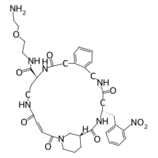 NCCOCCNC(=O)[C@@H]1CCNC(=O)/C=C/C(=O)N2CCC[C@H](C2)C(=O)N[C@@H](Cc2ccccc2[N+](=O)[O-])CC(=O)NCc2ccccc2CC(=O)N1